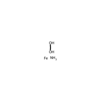 N.OO.[Fe]